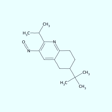 CC(C)c1nc2c(cc1N=O)CC(C(C)(C)C)CC2